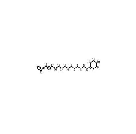 C(CCCCCCC1CCCCC1)CCCCCOCC1CO1